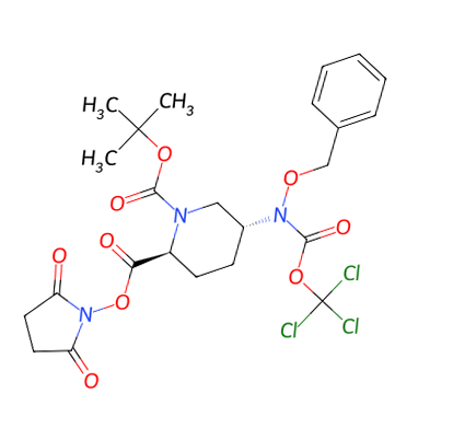 CC(C)(C)OC(=O)N1C[C@H](N(OCc2ccccc2)C(=O)OC(Cl)(Cl)Cl)CC[C@H]1C(=O)ON1C(=O)CCC1=O